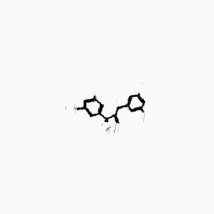 O=C(c1cc(F)cc(F)c1)c1c[nH]nc1-c1cc(Cl)cc(Cl)c1